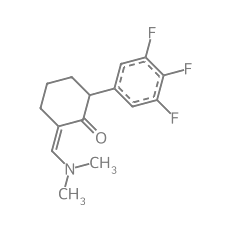 CN(C)/C=C1/CCCC(c2cc(F)c(F)c(F)c2)C1=O